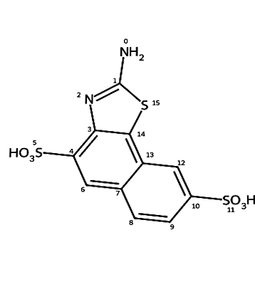 Nc1nc2c(S(=O)(=O)O)cc3ccc(S(=O)(=O)O)cc3c2s1